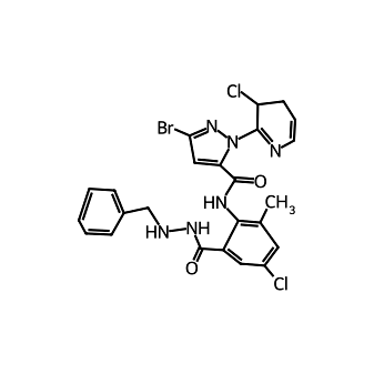 Cc1cc(Cl)cc(C(=O)NNCc2ccccc2)c1NC(=O)c1cc(Br)nn1C1=NC=CCC1Cl